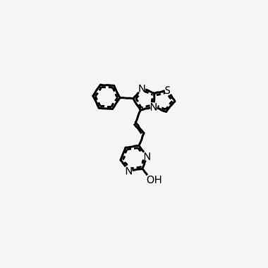 Oc1nccc(C=Cc2c(-c3ccccc3)nc3sccn23)n1